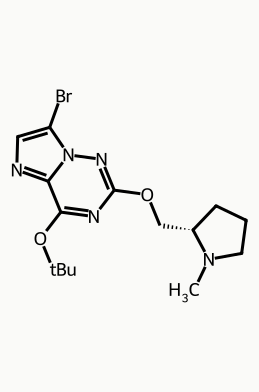 CN1CCC[C@H]1COc1nc(OC(C)(C)C)c2ncc(Br)n2n1